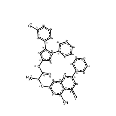 CC(Oc1cc(O)c2c(=O)cc(-c3ccccc3)oc2c1)C(=O)Oc1cc(-c2cccc(Cl)c2)n(-c2ccccc2)n1